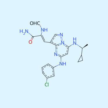 C[C@H](Nc1cc(Nc2cccc(Cl)c2)nc2c(/C=C(\NC=O)C(N)=O)cnn12)C1CC1